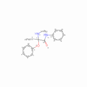 CCCCCC(NCCCC)(Oc1ccccc1)C(=O)Nc1ccccc1